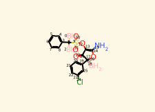 BC(B)(c1ccccc1)S(=O)(=O)OC1=C(N)O[C@](B)(c2cccc(Cl)c2)C1=O